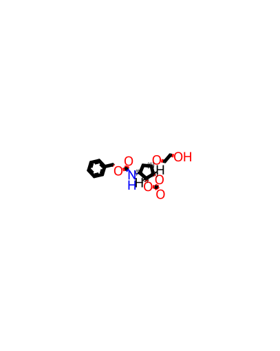 O=C(N[C@@H]1C[C@H](OCCO)[C@H]2OC(=O)O[C@H]21)OCc1ccccc1